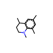 Cc1cc(C)c2c(c1)C(C)CCN2C